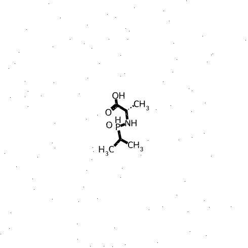 CC(C)[PH](=O)N[C@@H](C)C(=O)O